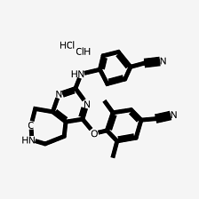 Cc1cc(C#N)cc(C)c1Oc1nc(Nc2ccc(C#N)cc2)nc2c1CCNCC2.Cl.Cl